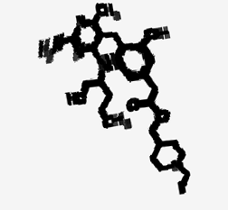 CCCC(CO)Nc1nc(N)nc(C)c1Cc1ccc(CC(=O)OCC2CCN(CI)CC2)cc1O